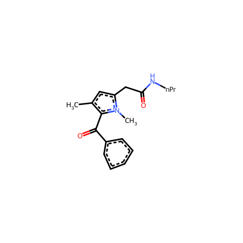 CCCNC(=O)Cc1cc(C)c(C(=O)c2ccccc2)n1C